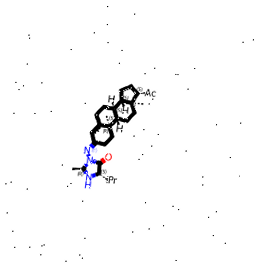 CC(=O)[C@H]1CC[C@H]2[C@@H]3CCC4=C/C(=N/N5C(=O)[C@H](C(C)C)N[C@H]5C)CC[C@]4(C)[C@H]3CC[C@]12C